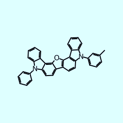 Cc1cccc(-n2c3ccccc3c3c4oc5c(ccc6c5c5ccccc5n6-c5ccccc5)c4ccc32)c1